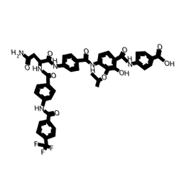 CC(C)Oc1c(NC(=O)c2ccc(NC(=O)C(CC(N)=O)NC(=O)c3ccc(NC(=O)c4ccc(C(F)(F)F)cc4)cc3)cc2)ccc(C(=O)Nc2ccc(C(=O)O)cc2)c1O